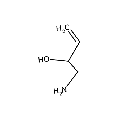 C=CC(O)CN